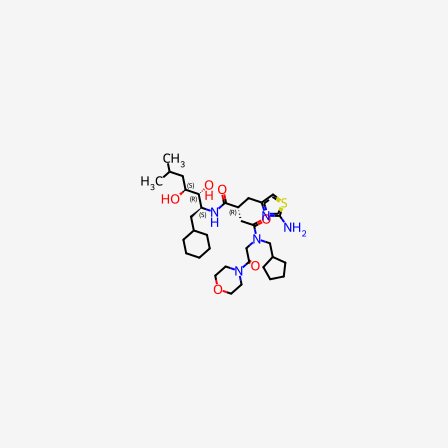 CC(C)C[C@H](O)[C@H](O)[C@H](CC1CCCCC1)NC(=O)[C@@H](CC(=O)N(CC(=O)N1CCOCC1)CC1CCCC1)Cc1csc(N)n1